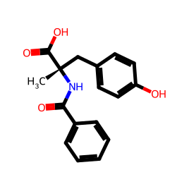 C[C@@](Cc1ccc(O)cc1)(NC(=O)c1ccccc1)C(=O)O